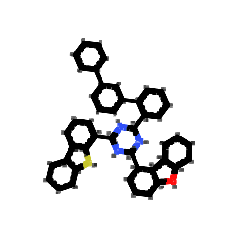 c1ccc(-c2cccc(-c3ccccc3-c3nc(-c4cccc5c4sc4ccccc45)nc(-c4cccc5oc6ccccc6c45)n3)c2)cc1